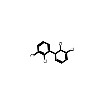 ClC1=CC=C[C](c2cccc(Cl)c2Cl)C1Cl